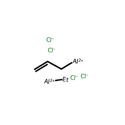 C=C[CH2][Al+2].C[CH2][Al+2].[Cl-].[Cl-].[Cl-].[Cl-]